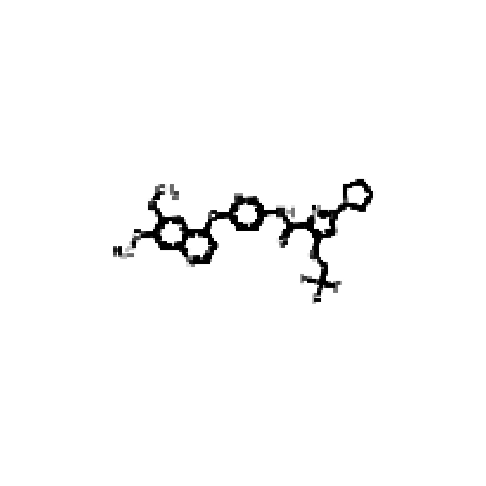 COc1cc2nccc(Oc3ccc(NC(=O)c4nn(C5CCCC5)cc4OCC(F)(F)F)cn3)c2cc1OC